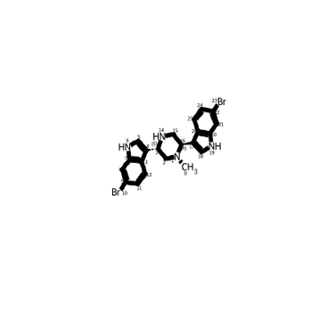 CN1C[C@H](c2c[nH]c3cc(Br)ccc23)NC[C@H]1c1c[nH]c2cc(Br)ccc12